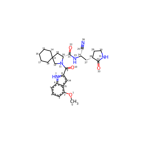 COc1cccc2[nH]c(C(=O)N3CC4(CCCCC4)C[C@@H]3C(=O)N[C@H](C#N)C[C@@H]3CCNC3=O)cc12